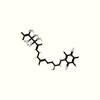 BC(=C(C)C)C(B)(B)C(B)(B)/C(C)=C/CC/C(C)=C/CC[C@H](C)CCC1=C(C)C(=O)C(C)=C(C)C1=O